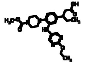 CCOc1ncc(Nc2cc(C(CC)CC(=O)O)ccc2N2CCN(C(=O)OC)CC2)cn1